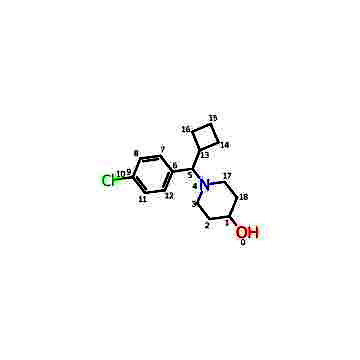 OC1CCN(C(c2ccc(Cl)cc2)C2CCC2)CC1